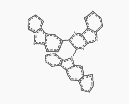 c1ccc2cc3c(cc2c1)c1ccccc1n3-c1nc2sc3ccccc3c2nc1-c1ccc2sc3ccccc3c2c1